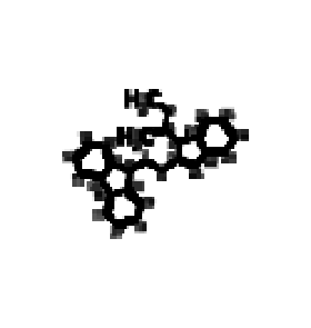 C=C(CC)C1C(CCC2c3ccccc3-c3ccccc32)=Cc2ccccc21